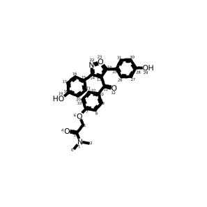 CN(C)C(=O)COc1ccc(C(=O)c2c(-c3ccc(O)cc3)noc2-c2ccc(O)cc2)cc1